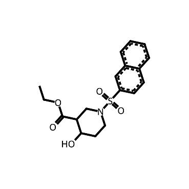 CCOC(=O)C1CN(S(=O)(=O)c2ccc3ccccc3c2)CCC1O